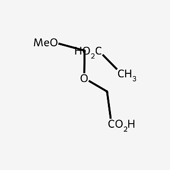 CC(=O)O.COCOCC(=O)O